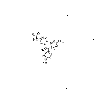 COc1ccc(-c2c(-c3ccnc(NC(C)=O)c3)[nH]c3cc(OC)cnc23)nc1